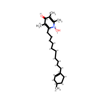 Cc1c(C)n(O)c(CCCCCCCCCCC2=CCC(C)CC2)c(C)c1=O